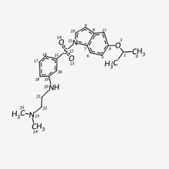 CC(C)Oc1ccc2c(ccn2S(=O)(=O)c2cccc(NCCN(C)C)c2)c1